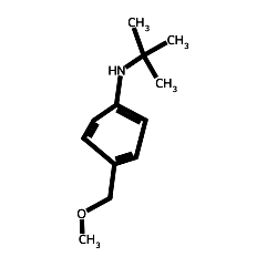 COCc1ccc(NC(C)(C)C)cc1